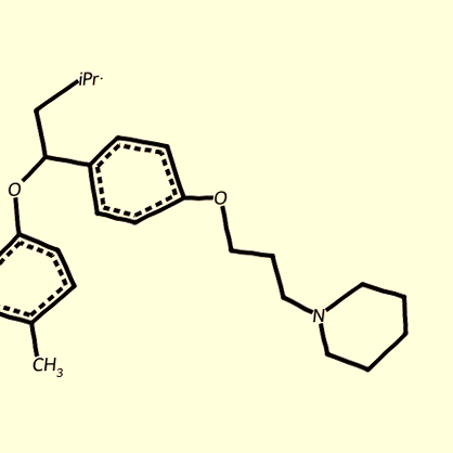 C[C](C)CC(Oc1ccc(C)cc1)c1ccc(OCCCN2CCCCC2)cc1